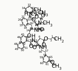 C=CCOC(=O)C[C@H](NC(=O)c1c(OC[C@@H](Cc2ccccc2)NC(=O)[C@@H](COCc2ccccc2)N(C)C(=O)OC(C)(C)C)ccc2ccccc12)C(=O)NCCc1cccc(OC)c1